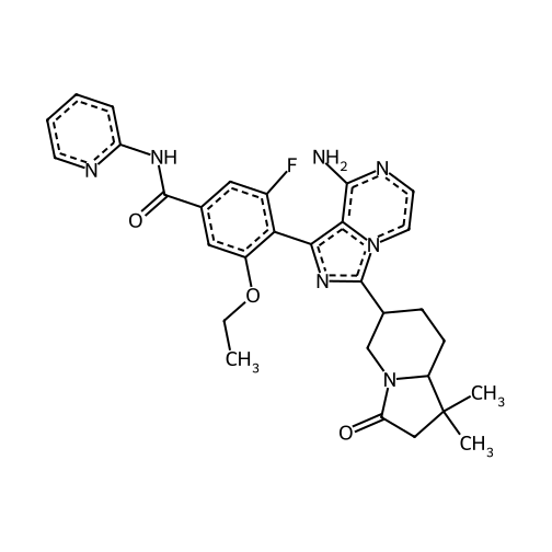 CCOc1cc(C(=O)Nc2ccccn2)cc(F)c1-c1nc(C2CCC3N(C2)C(=O)CC3(C)C)n2ccnc(N)c12